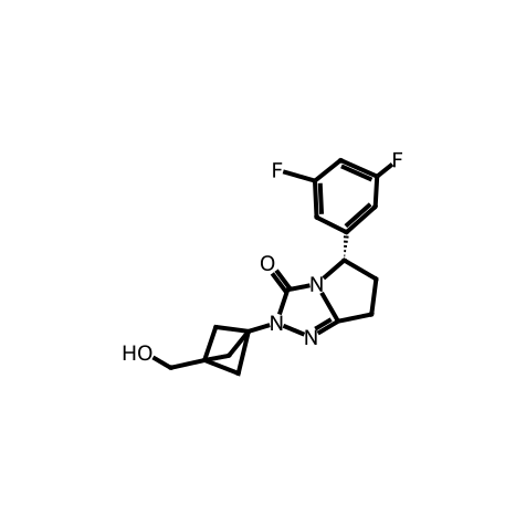 O=c1n(C23CC(CO)(C2)C3)nc2n1[C@H](c1cc(F)cc(F)c1)CC2